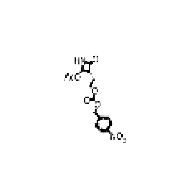 CC(=O)OC1NC(=O)[C@@H]1CCOC(=O)OCc1ccc([N+](=O)[O-])cc1